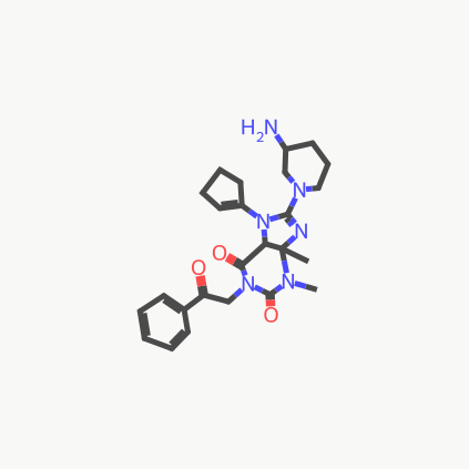 CN1C(=O)N(CC(=O)c2ccccc2)C(=O)C2N(C3=CCCC3)C(N3CCCC(N)C3)=NC21C